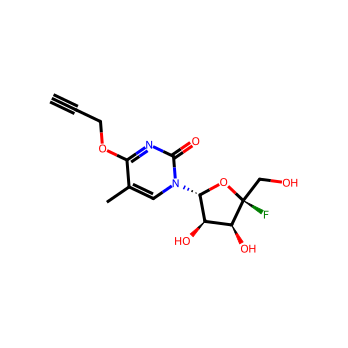 C#CCOc1nc(=O)n([C@@H]2O[C@](F)(CO)[C@@H](O)[C@H]2O)cc1C